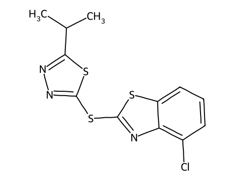 CC(C)c1nnc(Sc2nc3c(Cl)cccc3s2)s1